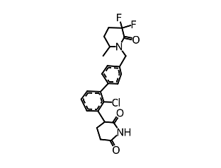 CC1CCC(F)(F)C(=O)N1Cc1ccc(-c2cccc(C3CCC(=O)NC3=O)c2Cl)cc1